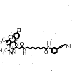 Cc1sc2c(c1C)C(c1ccc(Cl)cc1)=N[C@@H](CC(=O)NCCCCCCCC(=O)Nc1cccc(C#CCN)c1)c1nnc(C)n1-2